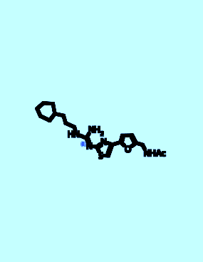 CC(=O)NCc1ccc(-c2csc(/N=C(\N)NCCCC3CCCCC3)n2)o1